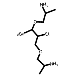 CCCCC(OCC(C)N)C(CC)COCC(C)N